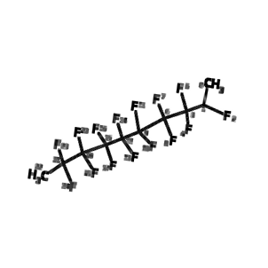 CC(F)C(F)(F)C(F)(F)C(F)(F)C(F)(F)C(F)(F)C(F)(F)C(C)(F)F